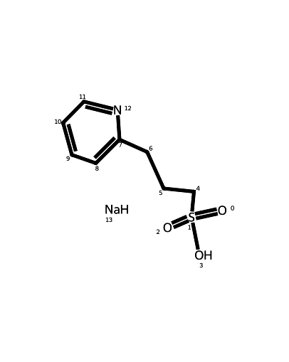 O=S(=O)(O)CCCc1ccccn1.[NaH]